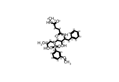 CNC(=O)CCC(=O)NC(Cc1ccccc1)C(O)CN(C[C@@H](C)O)S(=O)(=O)c1cccc(OC)c1